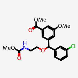 COC(=O)NCCOC(c1cccc(Cl)c1)c1cc(OC)cc(C(=O)OC)c1